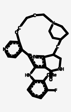 COc1c(F)cccc1Nc1c2[nH]c3c1C(=O)NCC3CC1CCN(CCCCOc3cnccc3-2)CC1